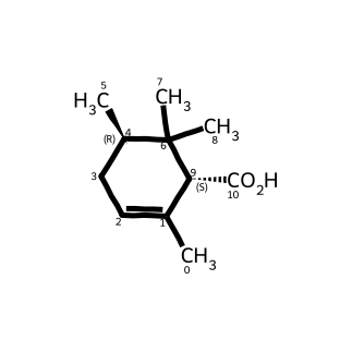 CC1=CC[C@@H](C)C(C)(C)[C@@H]1C(=O)O